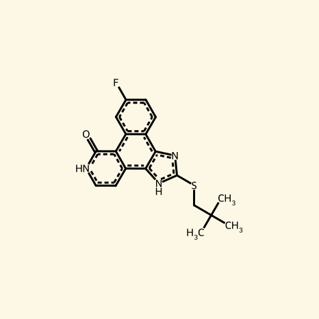 CC(C)(C)CSc1nc2c3ccc(F)cc3c3c(=O)[nH]ccc3c2[nH]1